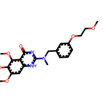 COCCOc1cccc(CN(C)c2nc(=O)c3c(OC)c(OC)c(OC)cc3[nH]2)c1